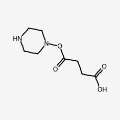 O=C(O)CCC(=O)ON1CCNCC1